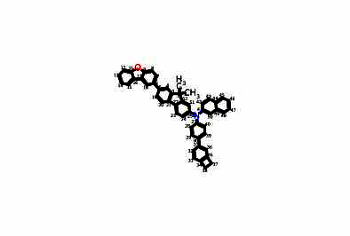 CC1(C)c2cc(-c3ccc4oc5ccccc5c4c3)ccc2-c2ccc(N(c3ccc(-c4ccc5c(c4)CC5)cc3)c3ccc4ccccc4c3)cc21